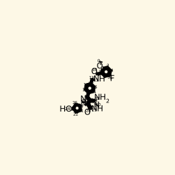 COc1ccc(F)cc1C(=O)NCc1ccc(-c2nn(C3CCC(O)C3)c3c(=O)[nH]nc(N)c23)cc1